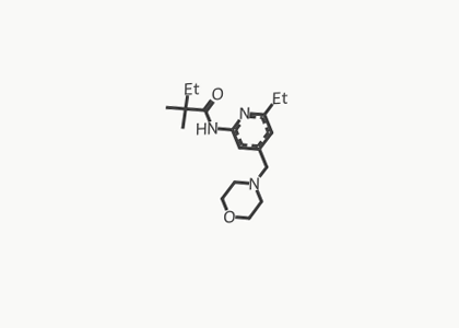 CCc1cc(CN2CCOCC2)cc(NC(=O)C(C)(C)CC)n1